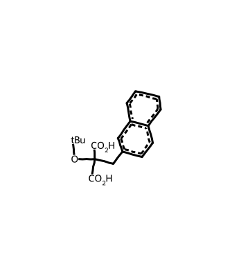 CC(C)(C)OC(Cc1ccc2ccccc2c1)(C(=O)O)C(=O)O